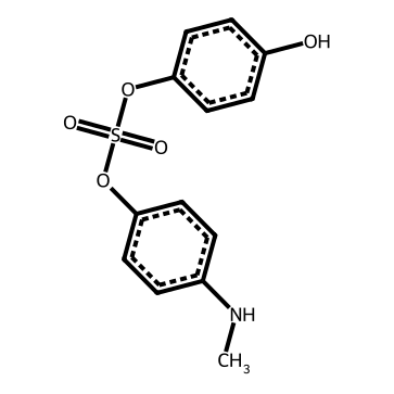 CNc1ccc(OS(=O)(=O)Oc2ccc(O)cc2)cc1